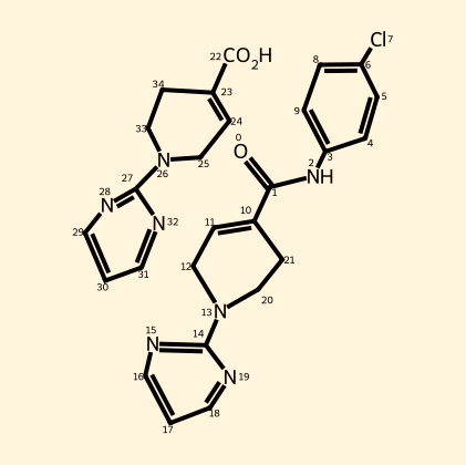 O=C(Nc1ccc(Cl)cc1)C1=CCN(c2ncccn2)CC1.O=C(O)C1=CCN(c2ncccn2)CC1